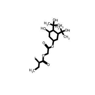 CCC(I)C(=O)OCC(=O)OC1CC(O)C(C(C)(C)O)C(C(C)(C)O)C1